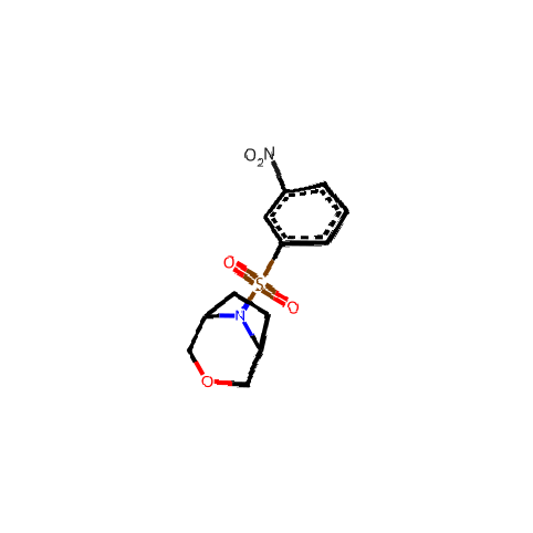 O=[N+]([O-])c1cccc(S(=O)(=O)N2C3CCC2COC3)c1